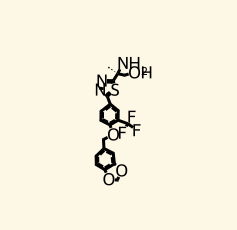 C[C@](N)(CO)c1nnc(-c2ccc(OCc3ccc4c(c3)OCO4)c(C(F)(F)F)c2)s1